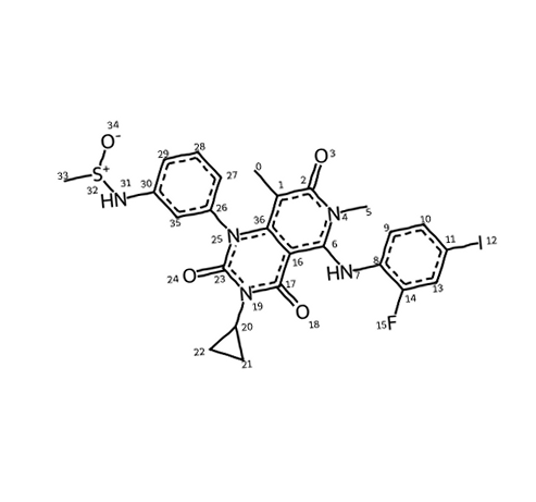 Cc1c(=O)n(C)c(Nc2ccc(I)cc2F)c2c(=O)n(C3CC3)c(=O)n(-c3cccc(N[S+](C)[O-])c3)c12